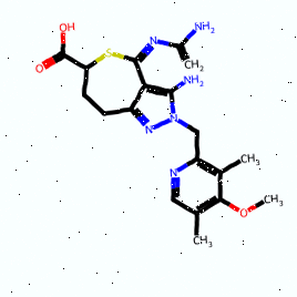 C=C(N)/N=C1/SC(C(=O)O)CCc2nn(Cc3ncc(C)c(OC)c3C)c(N)c21